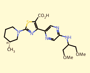 COCC(COC)Nc1cnc(-c2nc(N3CCC[C@@H](C)C3)sc2C(=O)O)cn1